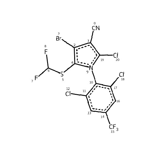 N#Cc1c(Br)c(SC(F)F)n(-c2c(Cl)cc(C(F)(F)F)cc2Cl)c1Cl